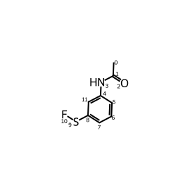 CC(=O)Nc1cccc(SF)c1